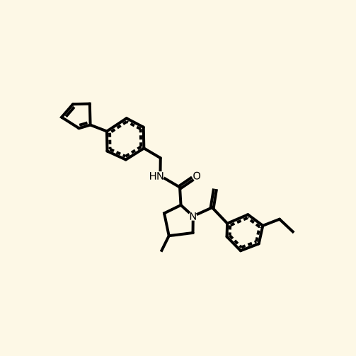 C=C(c1cccc(CC)c1)N1CC(C)CC1C(=O)NCc1ccc(C2=CC=CC2)cc1